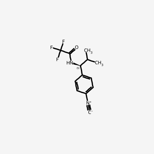 [C-]#[N+]c1ccc([C@@H](NC(=O)C(F)(F)F)C(C)C)cc1